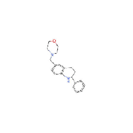 c1ccc(C2CCc3cc(CN4CCOCC4)ccc3N2)cc1